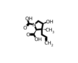 C=CC[C@]1(C)[C@H](O)CN(C(=O)O)[C@@H]1C(=O)O